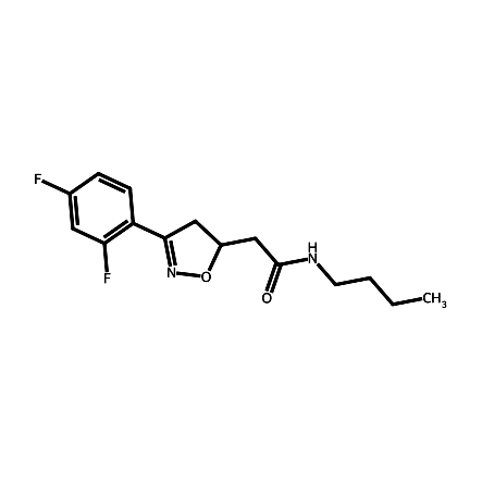 CCCCNC(=O)CC1CC(c2ccc(F)cc2F)=NO1